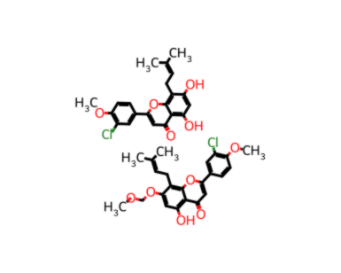 COCOc1cc(O)c2c(=O)cc(-c3ccc(OC)c(Cl)c3)oc2c1CC=C(C)C.COc1ccc(-c2cc(=O)c3c(O)cc(O)c(CC=C(C)C)c3o2)cc1Cl